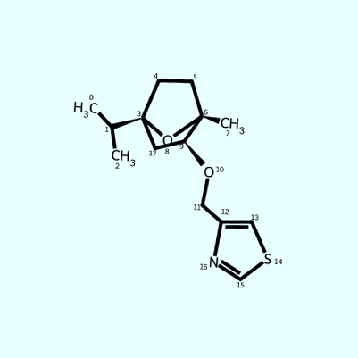 CC(C)[C@@]12CC[C@@](C)(O1)[C@@H](OCc1cscn1)C2